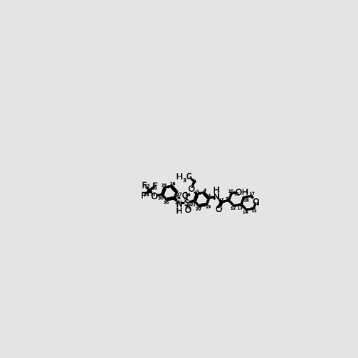 CCOc1cc(NC(=O)C(CO)CC2CCOCC2)ccc1S(=O)(=O)Nc1cccc(OC(F)(F)F)c1